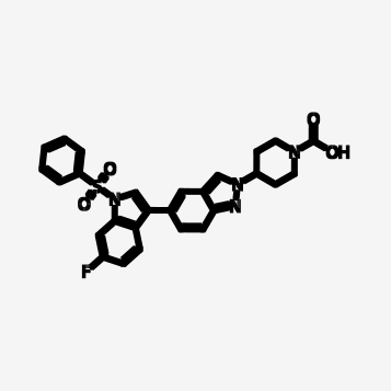 O=C(O)N1CCC(n2cc3cc(-c4cn(S(=O)(=O)c5ccccc5)c5cc(F)ccc45)ccc3n2)CC1